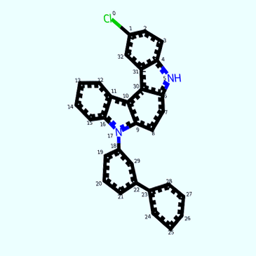 Clc1ccc2[nH]c3ccc4c(c5ccccc5n4-c4cccc(-c5ccccc5)c4)c3c2c1